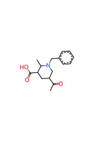 CC(=O)C1CC(C(=O)O)C(C)N(Cc2ccccc2)C1